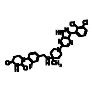 CC1(NCc2ccc(N3CCC(=O)NC3=O)c(F)c2)CCN(c2cnc3c(-c4cccc(Cl)c4Cl)n[nH]c3n2)CC1